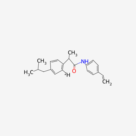 [2H]c1cc(CC(C)C)ccc1C(C)C(=O)Nc1ccc(C=C)cc1